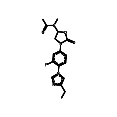 CCc1cn(-c2ccc(N3CC(N(C)C(C)=O)OC3=O)cc2F)cn1